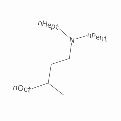 CCCCCCCCC(C)CCN(CCCCC)CCCCCCC